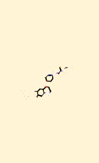 COc1cc2nccc(Oc3ccc(NC(=O)c4csc(C)n4)cc3F)c2cc1OC